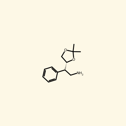 CC1(C)OC[C@@H](C(CN)c2ccccc2)O1